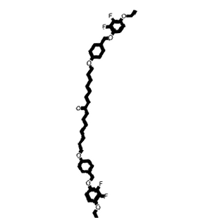 CCOc1ccc(OCC2CCC(OCCCCCCCC(=O)CCCCCCCOC3CCC(COc4ccc(OCC)c(F)c4F)CC3)CC2)c(F)c1F